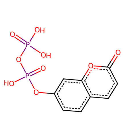 O=c1ccc2ccc(OP(=O)(O)OP(=O)(O)O)cc2o1